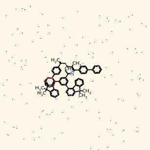 C=C/C(=N\C(=C(\C)CCC(=C)c1ccc(C2C=CCC=CC2)cc1)c1ccc(-c2ccccc2)cc1)c1cc(C2=C3C(=CCC2)C(C)(C)c2ccccc23)cc(-c2cccc3c2-c2ccccc2C3(C)C)c1